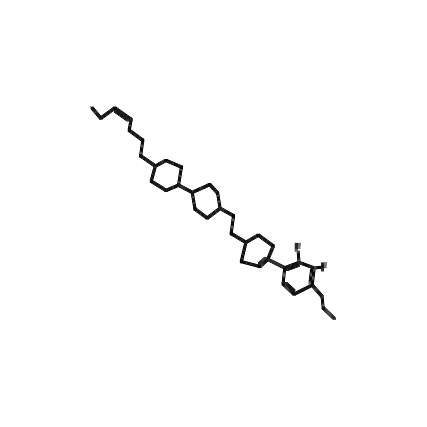 CC/C=C\CCCC1CCC(C2CCC(CCC3CC=C(c4ccc(CCC)c(F)c4F)CC3)CC2)CC1